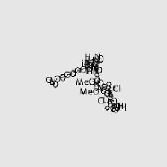 COCCN(CCN(CCOC)C(=O)Oc1cc2c(c3ccccc13)[C@H](CCl)CN2C(=O)c1ccc(C(=O)N2C[C@@H](CCl)c3c2cc(OP(=O)(O)O)c2ccccc32)s1)C(=O)OCc1ccc(NC(=O)[C@H](CCCNC(N)=O)NC(=O)[C@@H](NC(=O)CCOCCOCCOCCOCCOCCOCCN2C(=O)C=CC2=O)C(C)C)cc1